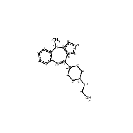 CN1c2ccccc2N=C(N2CCN(CCO)CC2)c2cscc21